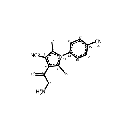 Cc1c(C#N)c(C(=O)CN)c(C)n1-c1ccc(C#N)cc1